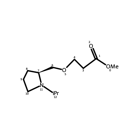 COC(=O)CCOC[C@@H]1CCCN1C(C)C